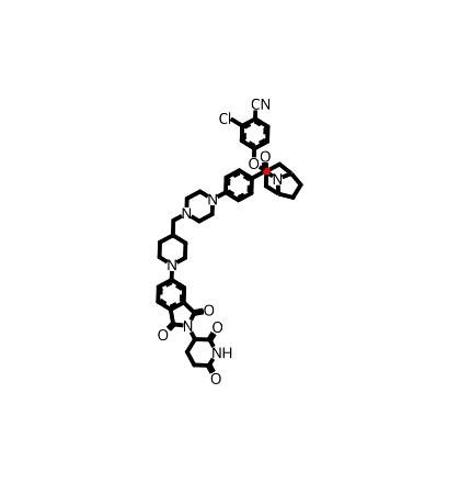 N#Cc1ccc(OC2CC3CCC(C2)N3C(=O)c2ccc(N3CCN(CC4CCN(c5ccc6c(c5)C(=O)N(C5CCC(=O)NC5=O)C6=O)CC4)CC3)cc2)cc1Cl